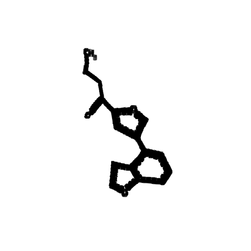 CCCC(=O)c1cc(-c2cccc3occc23)co1